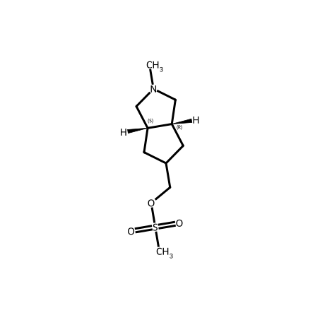 CN1C[C@H]2CC(COS(C)(=O)=O)C[C@H]2C1